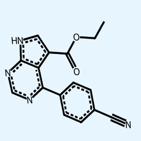 CCOC(=O)c1c[nH]c2ncnc(-c3ccc(C#N)cc3)c12